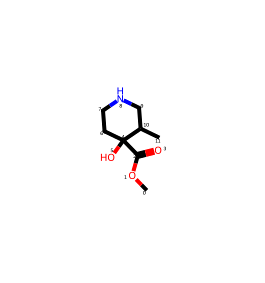 COC(=O)C1(O)CCNCC1C